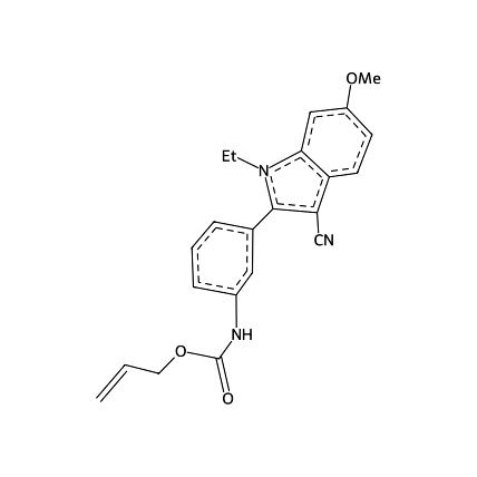 C=CCOC(=O)Nc1cccc(-c2c(C#N)c3ccc(OC)cc3n2CC)c1